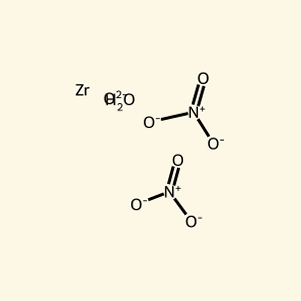 O.O=[N+]([O-])[O-].O=[N+]([O-])[O-].[O-2].[Zr]